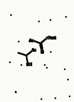 CC(=O)C(C)O.CCCCCC(=O)C(C)=O